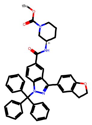 CC(C)(C)OC(=O)N1CCC[C@@H](NC(=O)c2ccc3c(c2)c(-c2ccc4c(c2)CCO4)nn3C(c2ccccc2)(c2ccccc2)c2ccccc2)C1